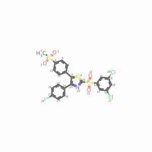 CS(=O)(=O)c1ccc(-c2sc(S(=O)(=O)c3cc(Cl)cc(Cl)c3)nc2-c2ccc(F)cc2)cc1